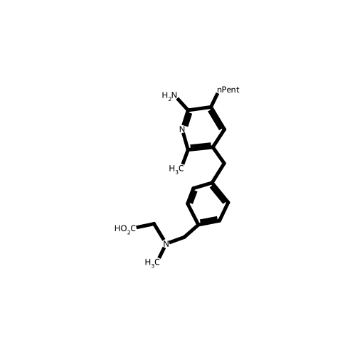 CCCCCc1cc(Cc2ccc(CN(C)CC(=O)O)cc2)c(C)nc1N